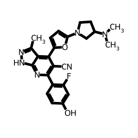 Cc1n[nH]c2nc(-c3ccc(O)cc3F)c(C#N)c(-c3ccc(N4CCC(N(C)C)C4)o3)c12